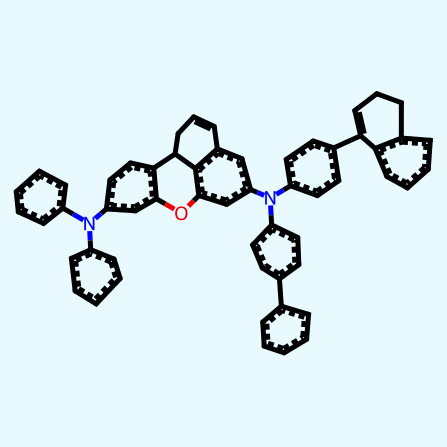 C1=Cc2cc(N(c3ccc(C4=CCCc5ccccc54)cc3)c3ccc(-c4ccccc4)cc3)cc3c2C(C1)c1ccc(N(c2ccccc2)c2ccccc2)cc1O3